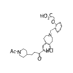 CC(=O)N1CCC(CCC(=O)c2ccc3c(c2)CCN(Cc2ccccc2OCC(=O)O)CC3)CC1.Cl